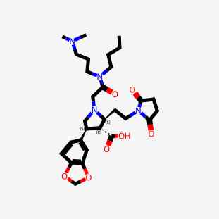 CCCCN(CCCN(C)C)C(=O)CN1C[C@H](c2ccc3c(c2)OCO3)[C@@H](C(=O)O)[C@@H]1CCN1C(=O)CCC1=O